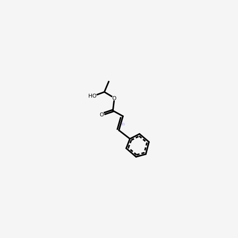 CC(O)OC(=O)/C=C/c1ccccc1